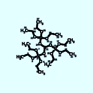 CCO[Si](OCC)(OCC)OB(O[Si](OCC)(OCC)OCC)O[Si](OCC)(OCC)OCC